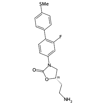 CSc1ccc(-c2ccc(N3C[C@H](CCN)OC3=O)cc2F)cc1